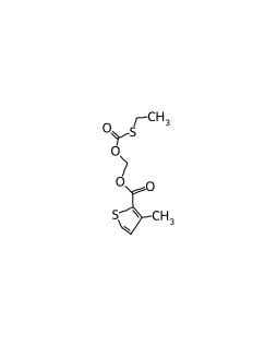 CCSC(=O)OCOC(=O)c1sccc1C